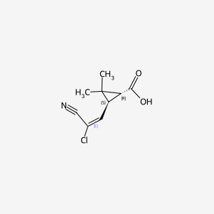 CC1(C)[C@H](/C=C(/Cl)C#N)[C@H]1C(=O)O